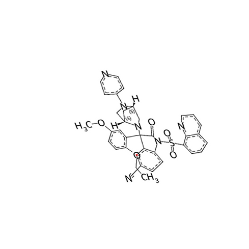 CCOc1ccc(OC)cc1C1(N2C[C@@H]3C[C@H]2CN3c2ccncc2)C(=O)N(S(=O)(=O)c2cccc3cccnc23)c2ccc(C#N)cc21